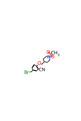 CS(=O)(=O)N1CCC(COc2ccc(CBr)cc2C#N)CC1